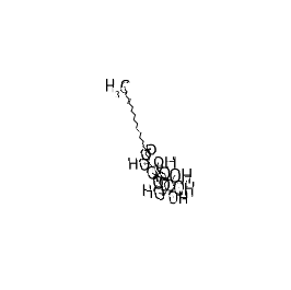 CCCCCCCCCCCCCCCC(=O)OC[C@H](O)[C@H]1OC(=O)C(O[C@@H]2O[C@H](CO)[C@@H](O)[C@@H](O)[C@@H]2O)=C1O